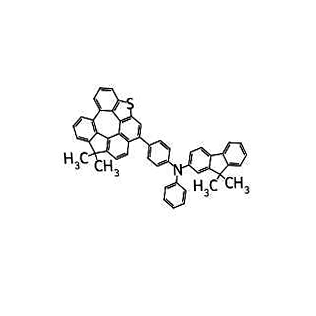 CC1(C)c2ccccc2-c2ccc(N(c3ccccc3)c3ccc(-c4cc5sc6cccc7c6c5c5c6c(ccc45)C(C)(C)c4cccc-7c4-6)cc3)cc21